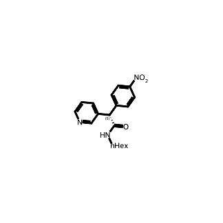 CCCCCCNC(=O)[C@@H](c1ccc([N+](=O)[O-])cc1)c1cccnc1